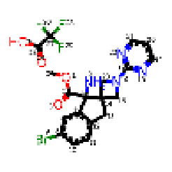 COC(=O)C1(N)c2cc(Br)ccc2CC12CN(c1ncccn1)C2.O=C(O)C(F)(F)F